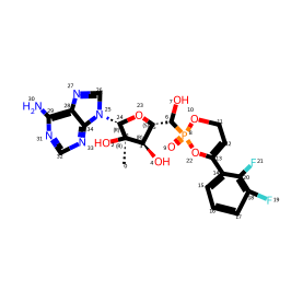 C[C@@]1(O)[C@H](O)[C@@H](C(O)P2(=O)OCC=C(c3cccc(F)c3F)O2)O[C@H]1n1cnc2c(N)ncnc21